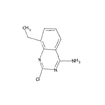 CCc1cccc2c(N)nc(Cl)nc12